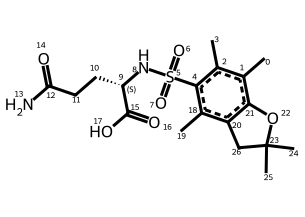 Cc1c(C)c(S(=O)(=O)N[C@@H](CCC(N)=O)C(=O)O)c(C)c2c1OC(C)(C)C2